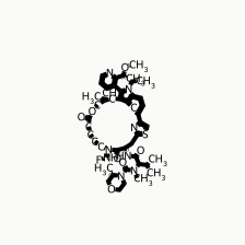 CCn1c(-c2cccnc2[C@H](C)OC)c2c3cc(ccc31)-c1csc(n1)C[C@H](NC(=O)C(C(C)C)N(C)C(=O)N1CCOC[C@@H]1C)C(=O)N(NF)CCCCC(=O)OCC(C)(C)C2